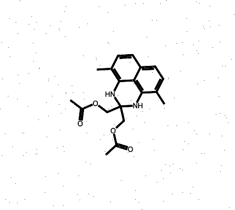 CC(=O)OCC1(COC(C)=O)Nc2c(C)ccc3ccc(C)c(c23)N1